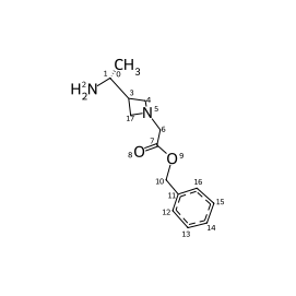 C[C@@H](N)C1CN(CC(=O)OCc2ccccc2)C1